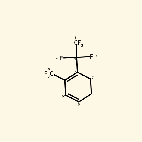 FC(F)(F)C1=C(C(F)(F)C(F)(F)F)CCC=C1